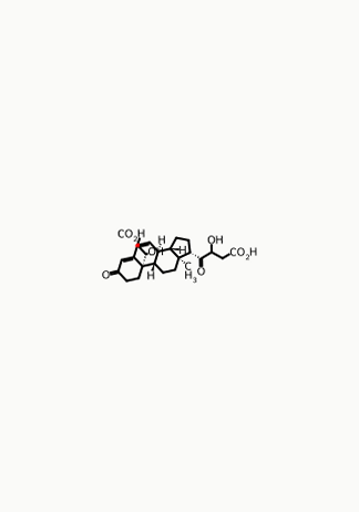 C[C@]12CC[C@H]3[C@@H](C=CC4=CC(=O)CC[C@@]43C(O)CC(=O)O)[C@@H]1CC[C@@H]2C(=O)C(O)CC(=O)O